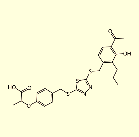 CCCc1c(CSc2nnc(SCc3ccc(OC(C)C(=O)O)cc3)s2)ccc(C(C)=O)c1O